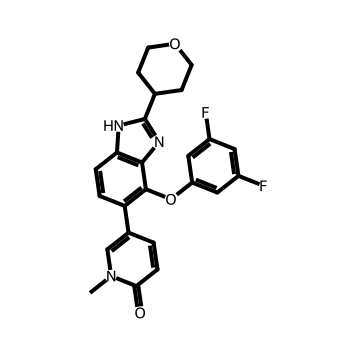 Cn1cc(-c2ccc3[nH]c(C4CCOCC4)nc3c2Oc2cc(F)cc(F)c2)ccc1=O